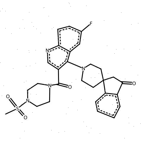 CS(=O)(=O)N1CCN(C(=O)c2cnc3ccc(F)cc3c2N2CCC3(CC2)CC(=O)c2ccccc23)CC1